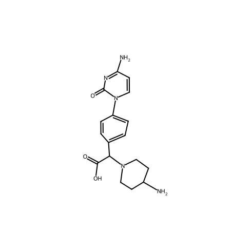 Nc1ccn(-c2ccc(C(C(=O)O)N3CCC(N)CC3)cc2)c(=O)n1